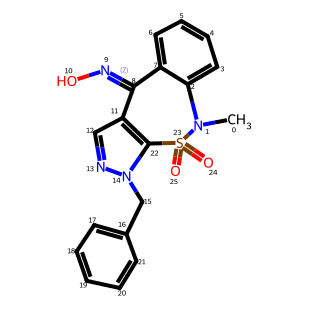 CN1c2ccccc2/C(=N/O)c2cnn(Cc3ccccc3)c2S1(=O)=O